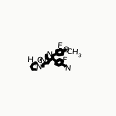 COc1ccc(-c2ncc3c(cc(CN4CCCCC4)n3C)c2-c2ccc(C#N)c(F)c2)cc1F